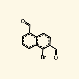 O=Cc1ccc2c(C=O)cccc2c1Br